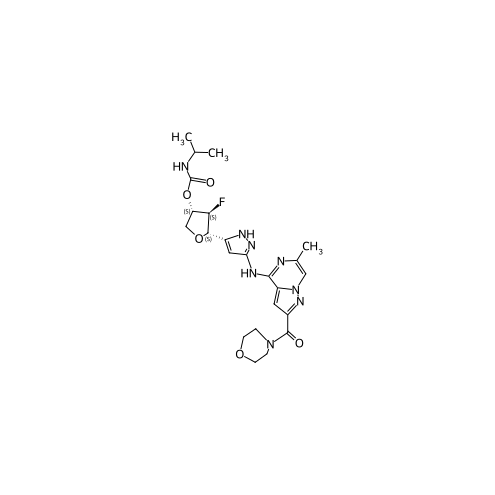 Cc1cn2nc(C(=O)N3CCOCC3)cc2c(Nc2cc([C@@H]3OC[C@H](OC(=O)NC(C)C)[C@H]3F)[nH]n2)n1